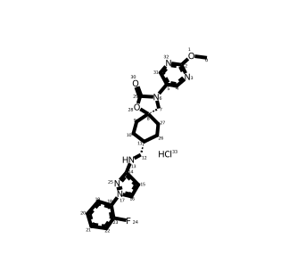 COc1ncc(N2C[C@]3(CC[C@@H](CNc4ccn(-c5ccccc5F)n4)CC3)OC2=O)cn1.Cl